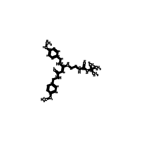 COc1ccc(CNC(=O)/C=C(\NCc2ccc(OC)cc2)OCCNC(=O)OC(C)(C)C)cc1